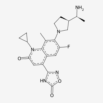 Cc1c(N2CC[C@@H]([C@H](C)N)C2)c(F)cc2c(-c3noc(=O)[nH]3)cc(=O)n(C3CC3)c12